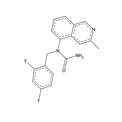 Cc1cc2c(N(Cc3ccc(F)cc3F)C(N)=O)cccc2cn1